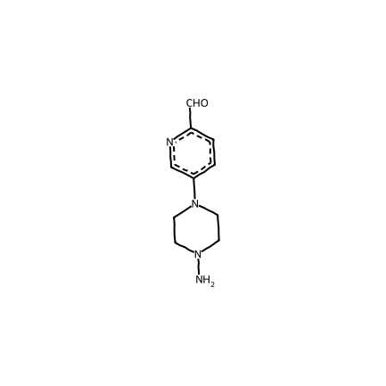 NN1CCN(c2ccc(C=O)nc2)CC1